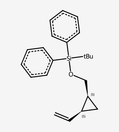 C=C[C@@H]1C[C@@H]1CO[Si](c1ccccc1)(c1ccccc1)C(C)(C)C